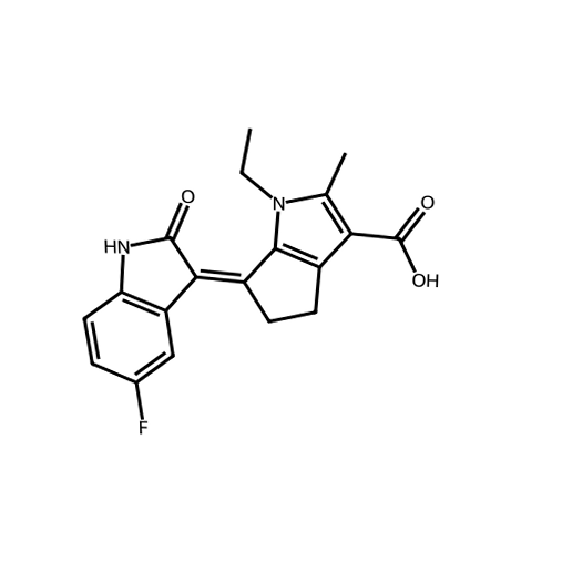 CCn1c(C)c(C(=O)O)c2c1/C(=C1\C(=O)Nc3ccc(F)cc31)CC2